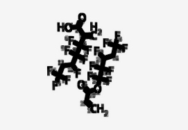 C=C(C(=O)O)C(F)(F)C(F)(F)C(F)CC(F)(F)F.C=CC(=O)OC(F)(F)C(F)(F)C(F)CC(F)(F)F